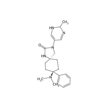 CC1N=CC(N2C[C@]3(CC[C@](c4ccccc4)(N(C)C)CC3)NC2=O)=CN1